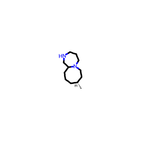 C[C@@H]1CCCC2CNCCCN2CC1